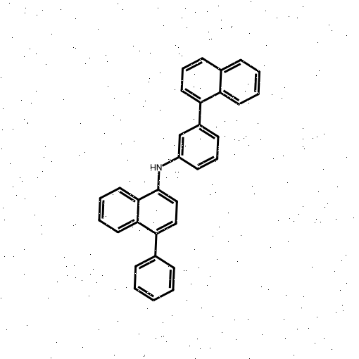 c1ccc(-c2ccc(Nc3cccc(-c4cccc5ccccc45)c3)c3ccccc23)cc1